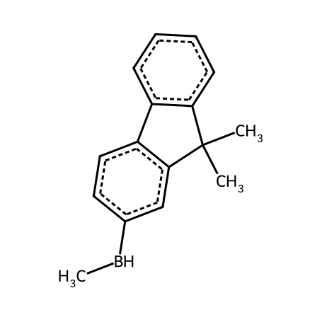 CBc1ccc2c(c1)C(C)(C)c1ccccc1-2